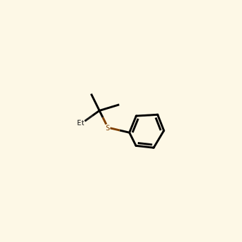 CCC(C)(C)Sc1ccccc1